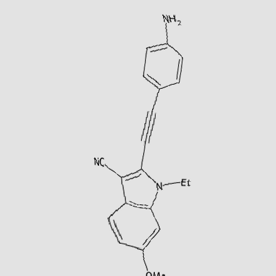 CCn1c(C#Cc2ccc(N)cc2)c(C#N)c2ccc(OC)cc21